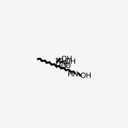 CCCCCCCCCCCCCCCCNCCO.C[N+](C)(C)CC(O)P(=O)(O)O